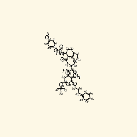 COc1ccc(OC(=O)NC2CCc3ccn4c3C2C(=O)CC(C(=O)NC(CC(=O)OC(C)(C)C)C(O)COCCCc2ccccc2)C4)cc1